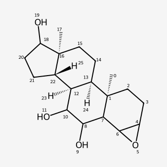 C[C@]12CCC3OC3C1C(O)C(O)[C@@H]1[C@H]2CC[C@]2(C)C(O)CC[C@@H]12